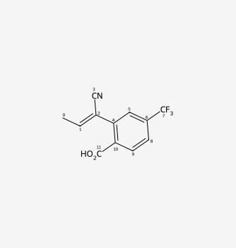 CC=C(C#N)c1cc(C(F)(F)F)ccc1C(=O)O